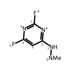 CNNc1cc(F)nc(F)n1